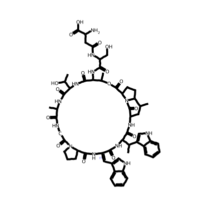 CC1NC(=O)C(C(C)O)NC(=O)C(NC(=O)C(CO)NC(=O)CC(N)C(=O)O)C(C)OC(=O)C2CCC3C(C)CC(NC(=O)C(C(C)c4c[nH]c5ccccc45)NC(=O)/C(=C\c4c[nH]c5ccccc45)NC(=O)C4CCCN4C(=O)CNC1=O)C(=O)N23